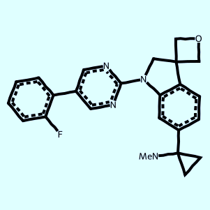 CNC1(c2ccc3c(c2)N(c2ncc(-c4ccccc4F)cn2)CC32COC2)CC1